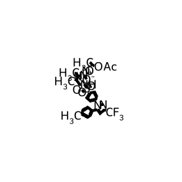 CC(=O)OC(C)ON=[N+]([O-])N(C)[C@@H](C)C(=O)NS(=O)(=O)c1ccc(-n2nc(C(F)(F)F)cc2-c2ccc(C)cc2)cc1